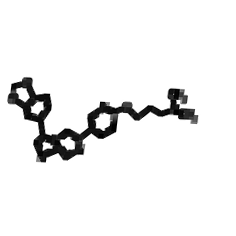 CN(C)CCCOc1ccc(-c2cn3c(-c4ccc5c(c4)OCO5)cnc3cn2)cn1